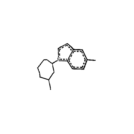 Cc1ccc2c(ccn2C2CCCC(C)C2)c1